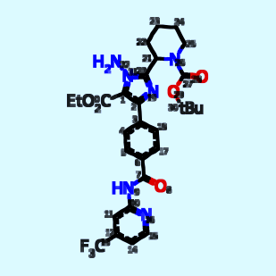 CCOC(=O)c1c(-c2ccc(C(=O)Nc3cc(C(F)(F)F)ccn3)cc2)nc(C2CCCCN2C(=O)OC(C)(C)C)n1N